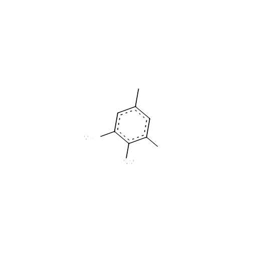 CNc1c(OC)cc(C)cc1C(F)(F)F